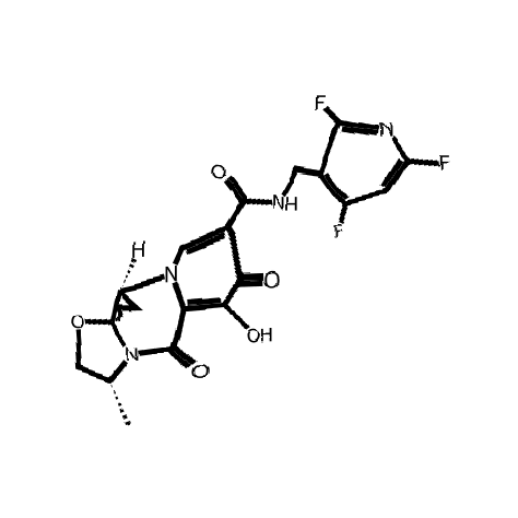 C[C@@H]1CO[C@@]23CCC[C@@H]2n2cc(C(=O)NCc4c(F)cc(F)nc4F)c(=O)c(O)c2C(=O)N13